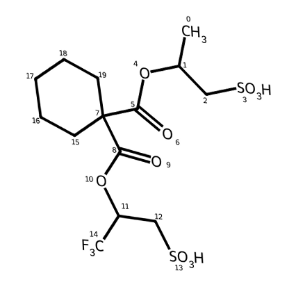 CC(CS(=O)(=O)O)OC(=O)C1(C(=O)OC(CS(=O)(=O)O)C(F)(F)F)CCCCC1